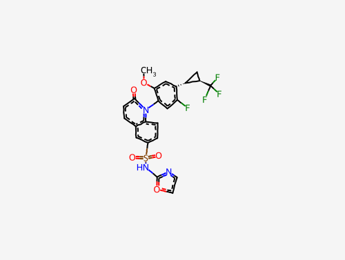 COc1cc([C@@H]2C[C@H]2C(F)(F)F)c(F)cc1-n1c(=O)ccc2cc(S(=O)(=O)Nc3ncco3)ccc21